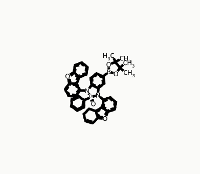 CC1(C)OB(c2ccc3c(c2)N(c2cccc4oc5c(c24)CCC=C5)P(=O)(C2=C=C=CC=C2)N3c2cccc3oc4ccccc4c23)OC1(C)C